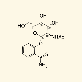 CC(=O)N[C@H]1[C@H](Oc2ccccc2C(N)=S)O[C@H](CO)[C@H](O)[C@@H]1O